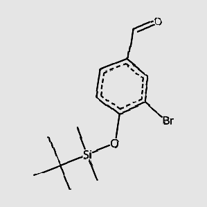 CC(C)(C)[Si](C)(C)Oc1ccc(C=O)cc1Br